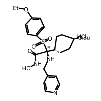 CCOc1ccc(S(=O)(=O)[C@@](NCc2ccncc2)(C(=O)NO)[C@H]2CC[C@H](OCC(C)C)CC2)cc1.Cl